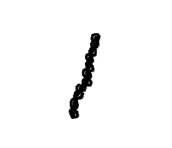 CCOCCOCCOCCOCCOCCOCCOCCOCCOCCOCC1CO1